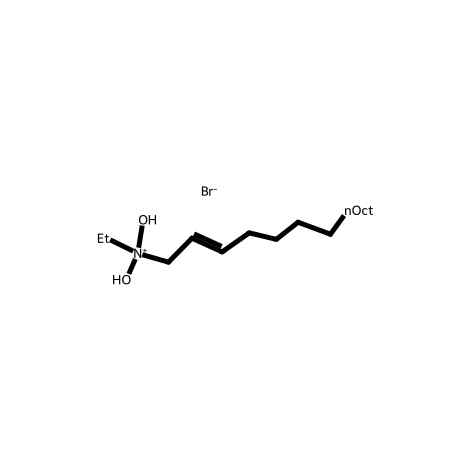 CCCCCCCCCCCCC=CC[N+](O)(O)CC.[Br-]